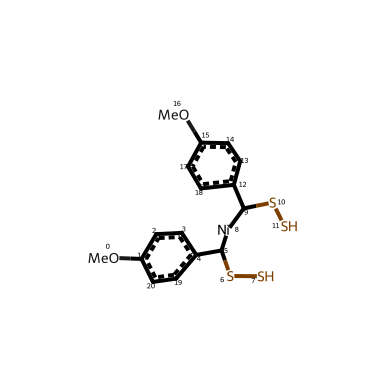 COc1ccc([CH](SS)[Ni][CH](SS)c2ccc(OC)cc2)cc1